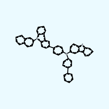 c1ccc(-c2ccc(N(c3ccc(-c4ccc5c(c4)c4ccccc4n5-c4ccc5ccccc5c4)cc3)c3ccc4sc5ccccc5c4c3)cc2)cc1